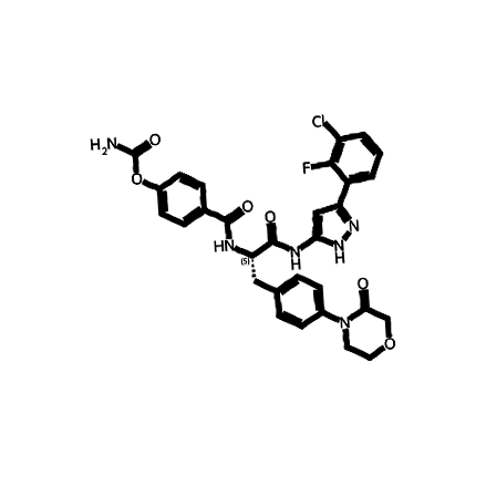 NC(=O)Oc1ccc(C(=O)N[C@@H](Cc2ccc(N3CCOCC3=O)cc2)C(=O)Nc2cc(-c3cccc(Cl)c3F)n[nH]2)cc1